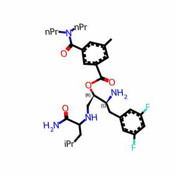 CCCN(CCC)C(=O)c1cc(C)cc(C(=O)O[C@H](CNC(CC(C)C)C(N)=O)[C@@H](N)Cc2cc(F)cc(F)c2)c1